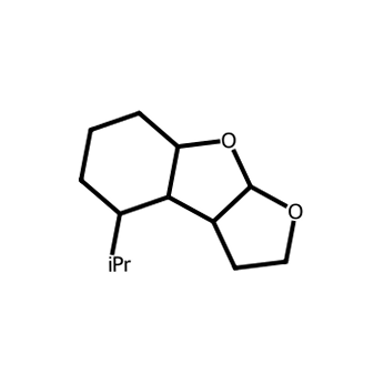 CC(C)C1CCCC2OC3OCCC3C21